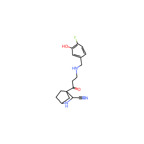 N#CC1NC2CCC1(C(=O)CCNCc1ccc(F)c(O)c1)C2